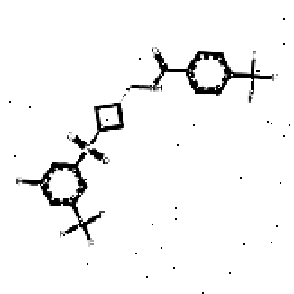 O=C(NC[C@H]1C[C@H](S(=O)(=O)c2cc(F)cc(C(F)(F)F)c2)C1)c1ccc(C(F)(F)F)cc1